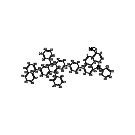 N#Cc1ccc2c3c1ccc1c(-c4ccc(-c5ccc6c(-c7ccccc7)c7cc(-c8cccc9ccccc89)ccc7c(-c7ccccc7)c6c5)cc4)ccc(c13)n2-c1ccccc1